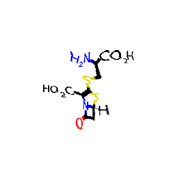 NC(CSC1=C(C(=O)O)N2C(=O)C[C@@H]2S1)C(=O)O